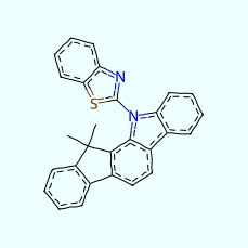 CC1(C)c2ccccc2-c2ccc3c4ccccc4n(-c4nc5ccccc5s4)c3c21